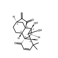 C=C1C(=O)[C@]23C[C@H]1CC[C@H]2[C@@]12CO[C@]3(O)[C@@H](O)[C@@H]1C(C)(C)C=CC2=O